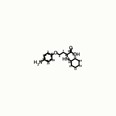 Nc1ccc(OCCC(NC2CCCCC2)C(=O)O)cc1